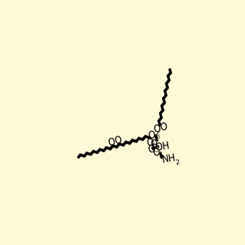 CCCCCCCCCCCCCCCC(=O)OC[C@H](COP(=O)(O)OCCN)OC(=O)CCCCCCCCC(=O)CC(=O)CCCCCCCCCCC